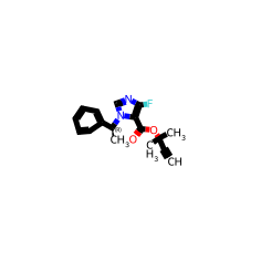 C#CC(C)(C)OC(=O)c1c(F)ncn1[C@H](C)c1ccccc1